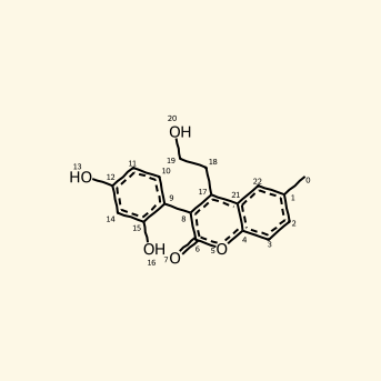 Cc1ccc2oc(=O)c(-c3ccc(O)cc3O)c(CCO)c2c1